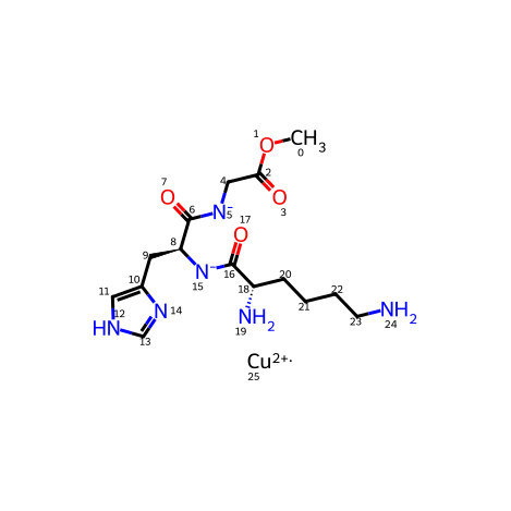 COC(=O)C[N-]C(=O)[C@H](Cc1c[nH]cn1)[N-]C(=O)[C@@H](N)CCCCN.[Cu+2]